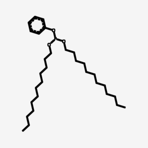 CCCCCCCCCCCCOP(OCCCCCCCCCCCC)Oc1ccccc1